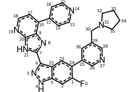 Fc1cc2[nH]nc(-c3nc4c(-c5ccncc5)ccnc4[nH]3)c2cc1-c1cncc(CN2CCCC2)c1